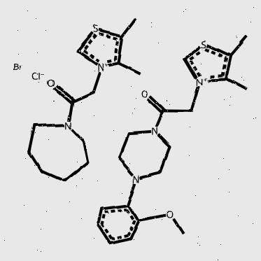 COc1ccccc1N1CCN(C(=O)C[n+]2csc(C)c2C)CC1.Cc1sc[n+](CC(=O)N2CCCCCC2)c1C.[Br-].[Cl-]